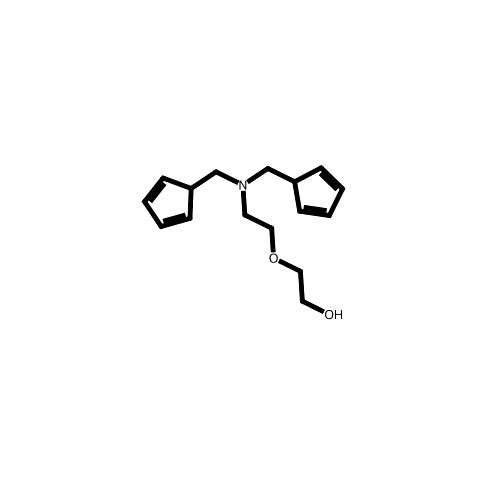 OCCOCCN(CC1C=CC=C1)CC1C=CC=C1